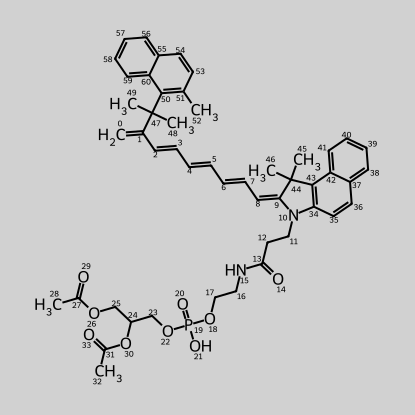 C=C(/C=C/C=C/C=C/C=C1/N(CCC(=O)NCCOP(=O)(O)OCC(COC(C)=O)OC(C)=O)c2ccc3ccccc3c2C1(C)C)C(C)(C)c1c(C)ccc2ccccc12